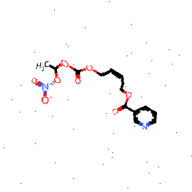 CC(OC(=O)OC/C=C\COC(=O)c1cccnc1)O[N+](=O)[O-]